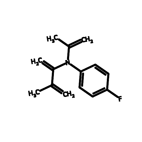 C=C(C)C(=C)N(C(=C)C)c1ccc(F)cc1